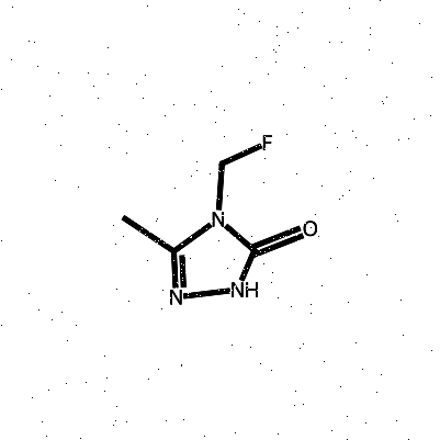 Cc1n[nH]c(=O)n1CF